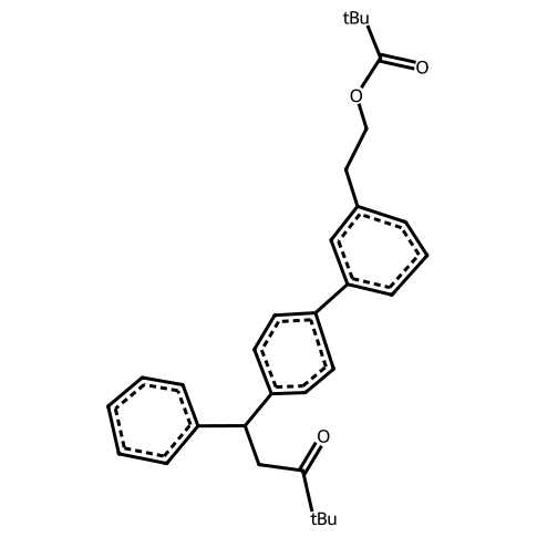 CC(C)(C)C(=O)CC(c1ccccc1)c1ccc(-c2cccc(CCOC(=O)C(C)(C)C)c2)cc1